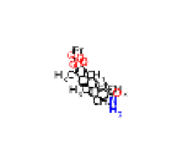 CC[C@@]12CC[C@@]3(C)C4=CC(=O)C(OC(=O)OC(C)C)=C(C)C4=CC=C3[C@@]1(C)CC[C@@]1(C)CC[C@@](C)(C(N)=O)C[C@H]12